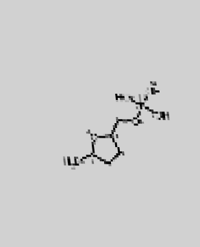 BC1CCC(CO[PH](O)(O)O)O1